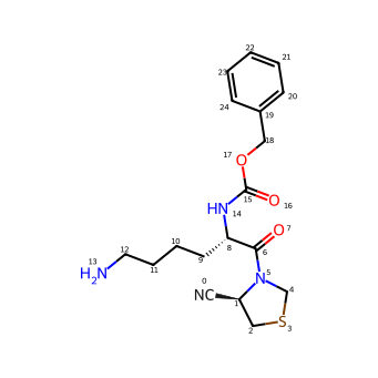 N#C[C@@H]1CSCN1C(=O)[C@H](CCCCN)NC(=O)OCc1ccccc1